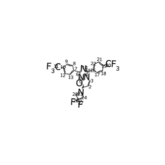 O=C(/C=C\n1nc(-c2ccc(C(F)(F)F)cc2)nc1-c1ccc(C(F)(F)F)cc1)N1CC(F)(F)C1